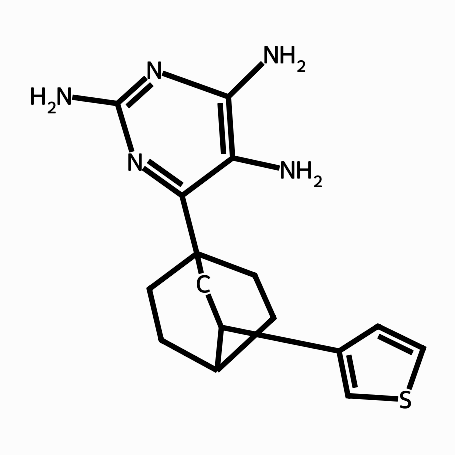 Nc1nc(N)c(N)c(C23CCC(CC2)C(c2ccsc2)C3)n1